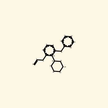 C=CCc1cc[c]c(Cc2ccccc2)c1C1CCCCC1